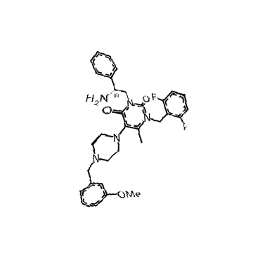 COc1cccc(CN2CCN(c3c(C)n(Cc4c(F)cccc4F)c(=O)n(C[C@H](N)c4ccccc4)c3=O)CC2)c1